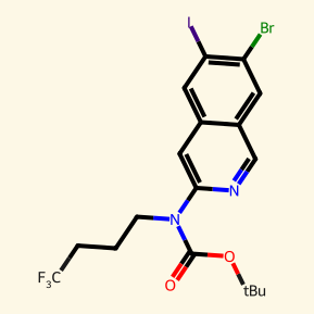 CC(C)(C)OC(=O)N(CCCC(F)(F)F)c1cc2cc(I)c(Br)cc2cn1